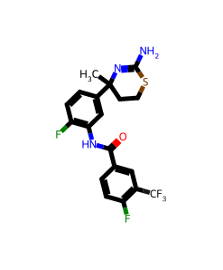 CC1(c2ccc(F)c(NC(=O)c3ccc(F)c(C(F)(F)F)c3)c2)CCSC(N)=N1